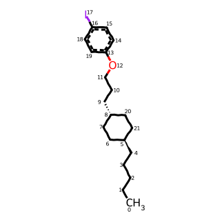 CCCCC[C@H]1CC[C@H](CCCOc2ccc(I)cc2)CC1